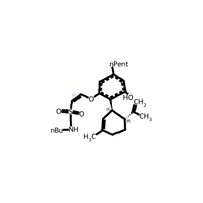 C=C(C)[C@@H]1CCC(C)=C[C@H]1c1c(O)cc(CCCCC)cc1O/C=C\S(=O)(=O)NCCCC